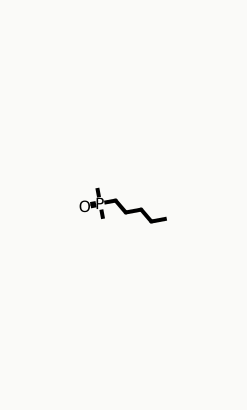 CCCCCP(C)(C)=O